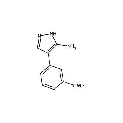 COc1cccc(-c2cn[nH]c2N)c1